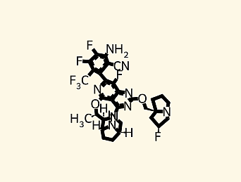 C[C@@H]1Oc2nc(-c3c(C#N)c(N)c(F)c(F)c3C(F)(F)F)c(F)c3nc(OC[C@@]45CCCN4C[C@H](F)C5)nc(c23)N2C[C@H]3CC[C@H](N3)[C@@H]12